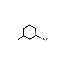 CC1CC[CH]C(C(=O)O)C1